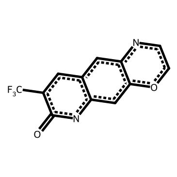 O=c1nc2cc3occnc3cc2cc1C(F)(F)F